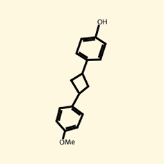 COc1ccc(C2CC(c3ccc(O)cc3)C2)cc1